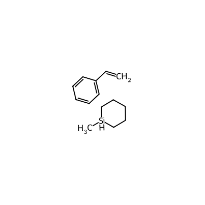 C=Cc1ccccc1.C[SiH]1CCCCC1